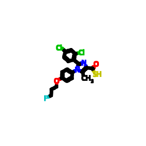 Cc1c(C(=O)S)nc(-c2ccc(Cl)cc2Cl)n1-c1ccc(OCCCF)cc1